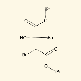 CCC(C)C(C(=O)OC(C)C)C(C#N)(C(=O)OC(C)C)C(C)CC